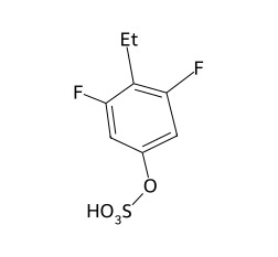 CCc1c(F)cc(OS(=O)(=O)O)cc1F